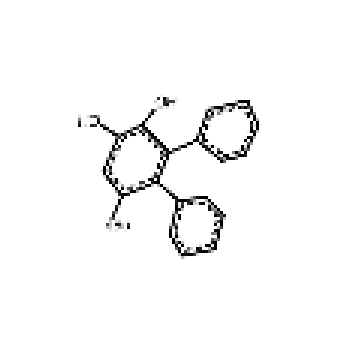 CCCCc1[c]c(O)c(O)c(-c2ccccc2)c1-c1ccccc1